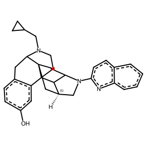 Oc1ccc2c(c1)C13CCN(CC4CC4)C(C2)C12CCC1C3[C@@H](CN1c1ccc3ccccc3n1)C2